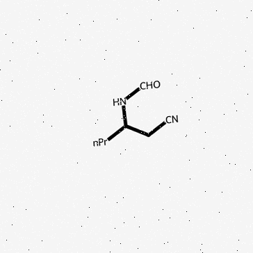 CCCC(CC#N)NC=O